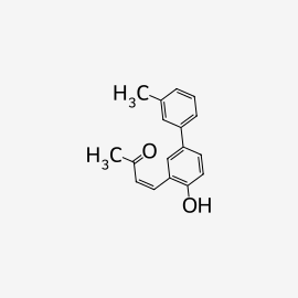 CC(=O)/C=C\c1cc(-c2cccc(C)c2)ccc1O